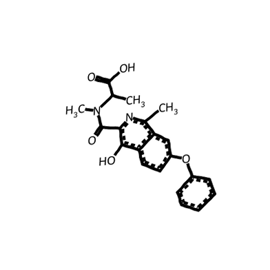 Cc1nc(C(=O)N(C)C(C)C(=O)O)c(O)c2ccc(Oc3ccccc3)cc12